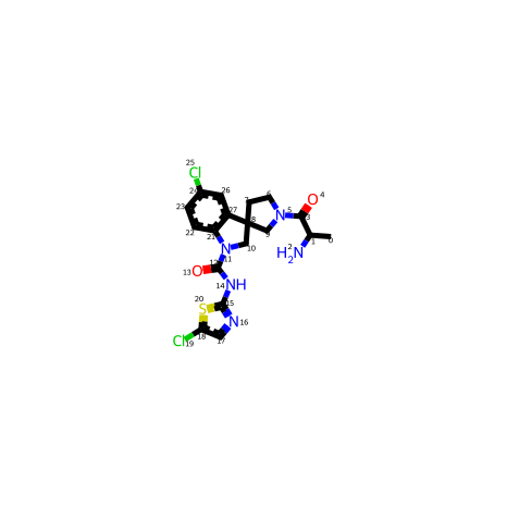 CC(N)C(=O)N1CCC2(C1)CN(C(=O)Nc1ncc(Cl)s1)c1ccc(Cl)cc12